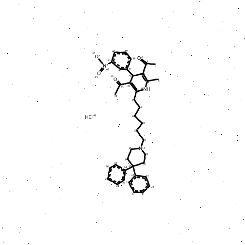 CC(=O)C1=C(C)NC(CCCCCCN2CCC(c3ccccc3)(c3ccccc3)CC2)=C(C(C)=O)C1c1cccc([N+](=O)[O-])c1.Cl